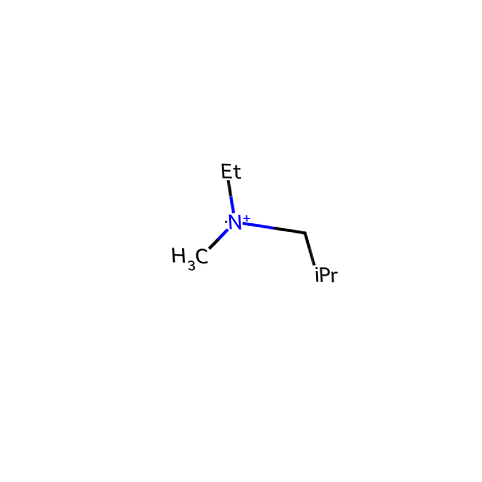 CC[N+](C)CC(C)C